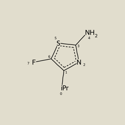 CC(C)c1nc(N)sc1F